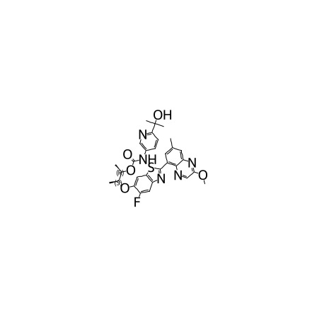 COc1cnc2c(-c3nc4cc(F)c(O[C@@H](C)[C@@H](C)OC(=O)Nc5ccc(C(C)(C)O)nc5)cc4s3)cc(C)cc2n1